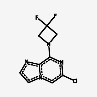 FC1(F)CN(c2nc(Cl)cn3ccnc23)C1